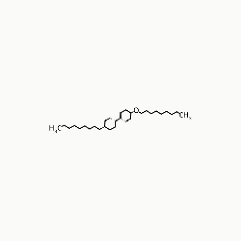 CCCCCCCCCO[C@H]1CC[C@H]([C@H]2CC[C@H](CCCCCCCCC)CC2)CC1